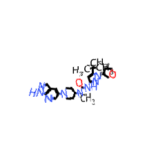 CN(C(=O)Nc1cc(C(C)(C)C)n([C@@H]2CCOC2)n1)C1CCN(c2cnc3[nH]ncc3c2)CC1